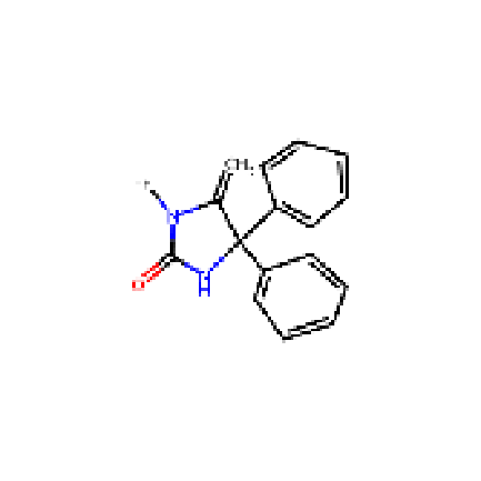 C=C1N(CC)C(=O)NC1(c1ccccc1)c1ccccc1